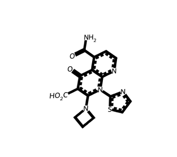 NC(=O)c1ccnc2c1c(=O)c(C(=O)O)c(N1CCC1)n2-c1nccs1